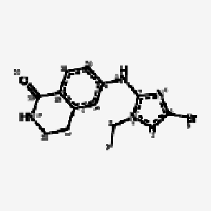 CCn1nc(Br)nc1Nc1ccc2c(c1)CCNC2=O